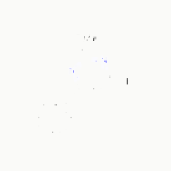 CCc1cc(-c2ccccc2)nc(OC)n1